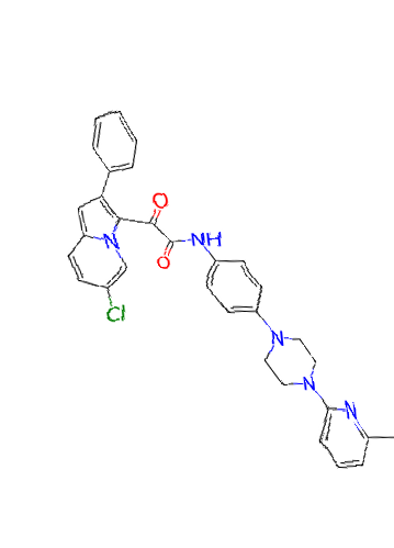 Cc1cccc(N2CCN(c3ccc(NC(=O)C(=O)c4c(-c5ccccc5)cc5ccc(Cl)cn45)cc3)CC2)n1